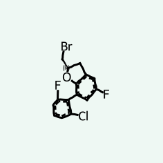 Fc1cc2c(c(-c3c(F)cccc3Cl)c1)O[C@@H](CBr)C2